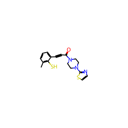 Cc1cccc(C#CC(=O)N2CCN(c3nccs3)CC2)c1S